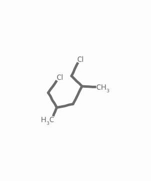 CC(CCl)CC(C)CCl